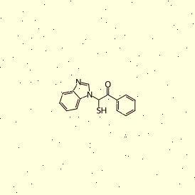 O=C(c1ccccc1)C(S)n1cnc2ccccc21